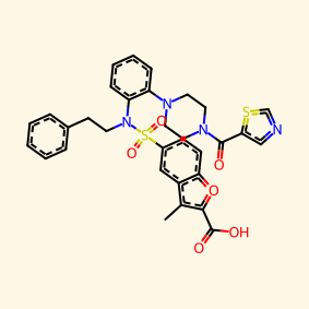 Cc1c(C(=O)O)oc2ccc(S(=O)(=O)N(CCc3ccccc3)c3ccccc3N3CCN(C(=O)c4cncs4)CC3)cc12